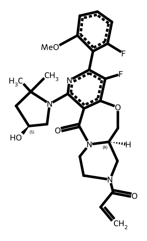 C=CC(=O)N1CCN2C(=O)c3c(N4C[C@@H](O)CC4(C)C)nc(-c4c(F)cccc4OC)c(F)c3OC[C@H]2C1